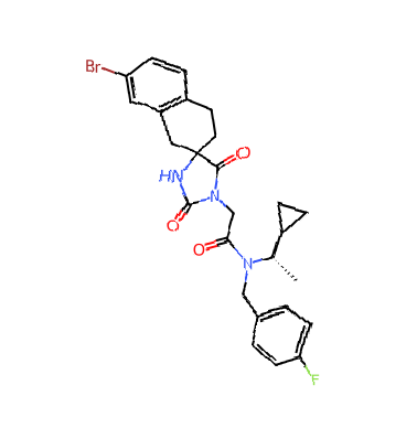 C[C@@H](C1CC1)N(Cc1ccc(F)cc1)C(=O)CN1C(=O)NC2(CCc3ccc(Br)cc3C2)C1=O